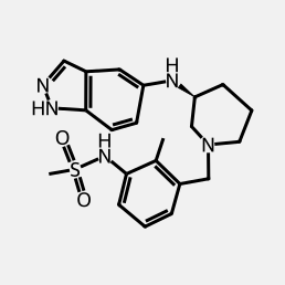 Cc1c(CN2CCC[C@H](Nc3ccc4[nH]ncc4c3)C2)cccc1NS(C)(=O)=O